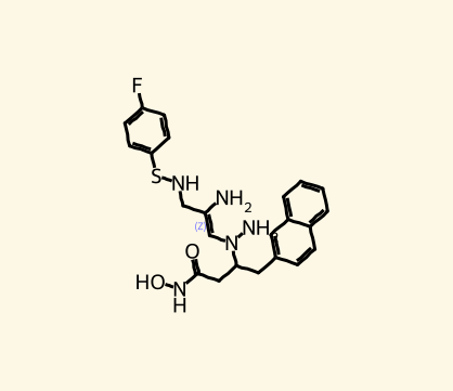 N/C(=C\N(N)C(CC(=O)NO)Cc1ccc2ccccc2c1)CNSc1ccc(F)cc1